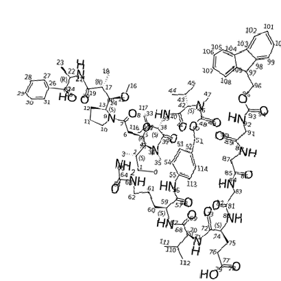 CC[C@H](C)[C@@H]([C@@H](CC(=O)N1CCC[C@H]1[C@H](OC)[C@@H](C)C(=O)N[C@H](C)[C@@H](O)c1ccccc1)OC)N(C)C(=O)[C@@H](NC(=O)[C@H](C(C)C)N(C)C(=O)OCc1ccc(NC(=O)[C@H](CCCNC(N)=O)NC(=O)[C@@H](NC(=O)[C@H](CCC(=O)O)NC(=O)CNC(=O)CNC(=O)CNC(=O)OCC2c3ccccc3-c3ccccc32)C(C)C)cc1)C(C)C